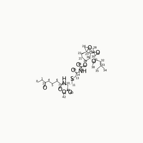 CCC(=O)CCCC(=O)N[C@H](CSCC(=O)NC(=O)O[C@@H]1CC[C@]2(CO2)[C@@H](C2(C)O[C@@H]2CC=C(C)C)[C@@H]1OC)C(=O)OC